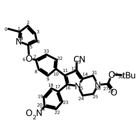 Cc1cccc(Oc2ccc(-c3c(C#N)c4n(c3-c3ccc([N+](=O)[O-])cc3)CCN(C(=O)OC(C)(C)C)C4)cc2)n1